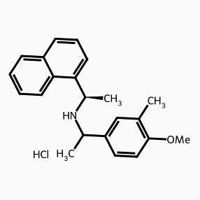 COc1ccc(C(C)N[C@H](C)c2cccc3ccccc23)cc1C.Cl